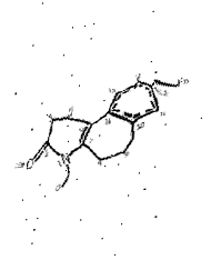 CN1C(=O)CCC2=C1CCc1cc(F)ccc12